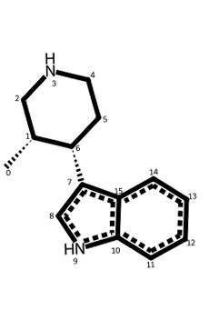 C[C@@H]1CNCC[C@@H]1c1c[nH]c2ccccc12